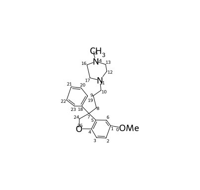 COc1ccc2c(c1)C(CCCN1CCN(C)CC1)(c1ccccc1)CO2